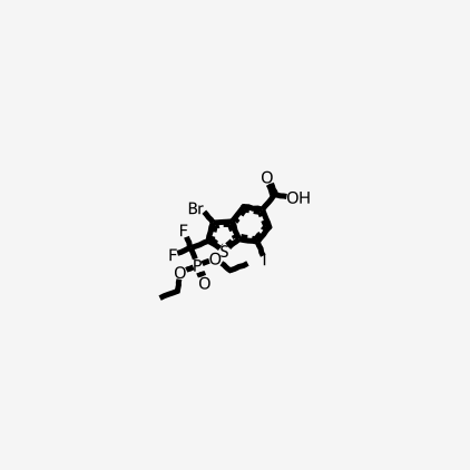 CCOP(=O)(OCC)C(F)(F)c1sc2c(I)cc(C(=O)O)cc2c1Br